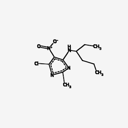 CCCC(CC)Nc1nc(C)nc(Cl)c1[N+](=O)[O-]